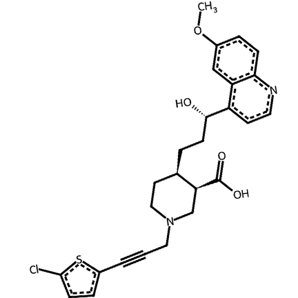 COc1ccc2nccc([C@@H](O)CC[C@@H]3CCN(CC#Cc4ccc(Cl)s4)C[C@@H]3C(=O)O)c2c1